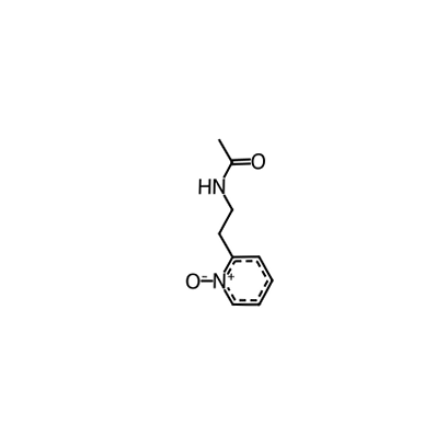 CC(=O)NCCc1cccc[n+]1[O-]